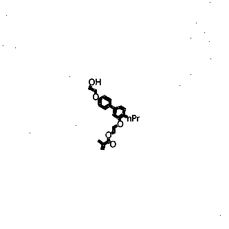 C=C(C)C(=O)OCCOc1cc(-c2ccc(OCCO)cc2)ccc1CCC